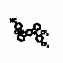 N#Cc1ccc(-n2c3ccccc3c3cc4c(cc32)c2ccccc2n4-c2ccc(C(F)(F)F)cc2C(F)(F)F)c(C#N)c1